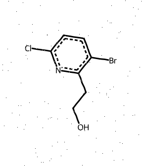 OCCc1nc(Cl)ccc1Br